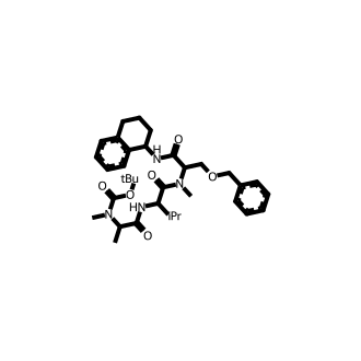 CC(C)C(NC(=O)C(C)N(C)C(=O)OC(C)(C)C)C(=O)N(C)C(COCc1ccccc1)C(=O)NC1CCCc2ccccc21